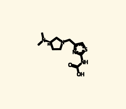 CN(C)[C@@H]1CCN(Cc2csc(NC(=O)O)n2)C1